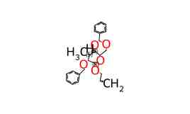 C=CCO[C@@H]1OC2COC(c3ccccc3)O[C@H]2[C@H](C)C1OCc1ccccc1